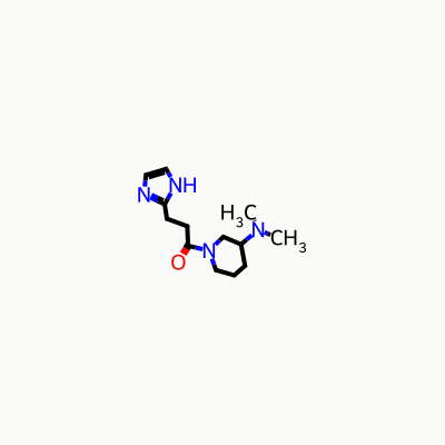 CN(C)C1CCCN(C(=O)CCc2ncc[nH]2)C1